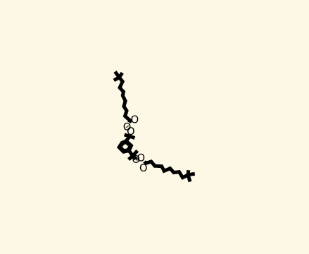 CC(C)(C)CCCCCCCCC(=O)OOC(C)(C)c1cccc(C(C)(C)OOC(=O)CCCCCCCCC(C)(C)C)c1